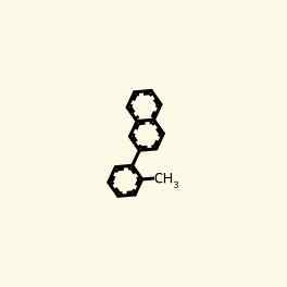 Cc1ccccc1-c1ccc2ccccc2c1